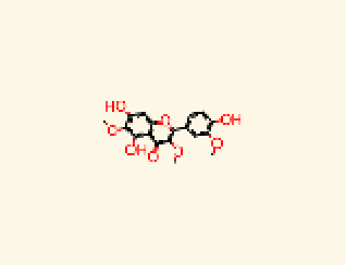 COc1cc(-c2oc3cc(O)c(OC)c(O)c3c(=O)c2OC)ccc1O